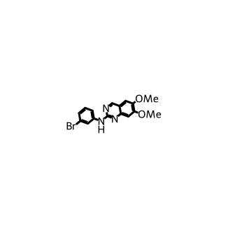 COc1cc2cnc(Nc3cccc(Br)c3)nc2cc1OC